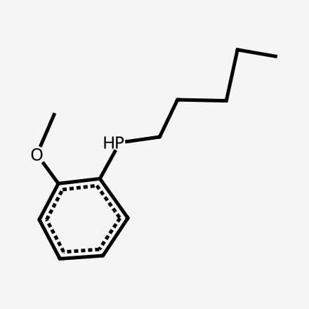 CCCCCPc1ccccc1OC